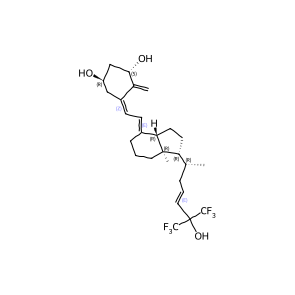 C=C1/C(=C\C=C2/CCC[C@]3(C)[C@@H]([C@H](C)C/C=C/C(O)(C(F)(F)F)C(F)(F)F)CC[C@@H]23)C[C@@H](O)C[C@@H]1O